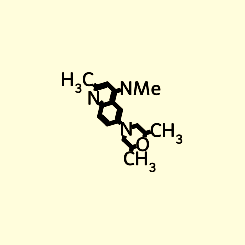 CNc1cc(C)nc2ccc(N3CC(C)OC(C)C3)cc12